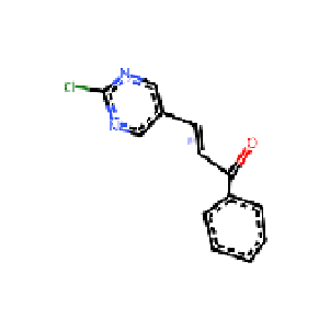 O=C(/C=C/c1cnc(Cl)nc1)c1ccccc1